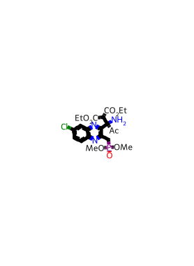 CCOC(=O)C(C(=O)OCC)C(N)(C(C)=O)c1nc2cc(Cl)ccc2nc1CP(=O)(OC)OC